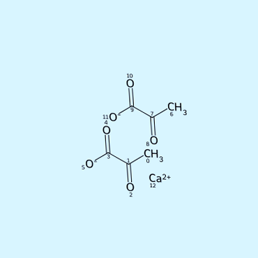 CC(=O)C(=O)[O-].CC(=O)C(=O)[O-].[Ca+2]